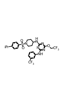 CC(C)c1ccc(S(=O)(=O)N2CCC(Nc3nc(Nc4cccc(C(F)(F)F)c4)nc(OCC(F)(F)F)n3)CC2)cc1